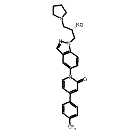 O=N[C@@H](CN1CCCC1)Cn1ncc2cc(-n3ccc(-c4ccc(C(F)(F)F)cc4)cc3=O)ccc21